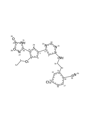 CCOc1cc(-c2cc(NCCc3cc(Cl)ccc3C#N)ncn2)sc1-c1noc(=O)[nH]1